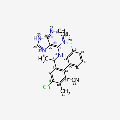 C=N/C(NC(C)c1cc(Cl)c(C)c(C#N)c1-c1cccc(F)c1)=C1/N=CN/C1=N/C